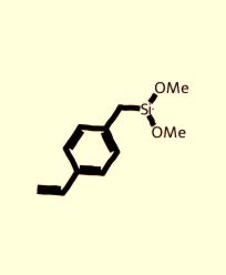 C=Cc1ccc(C[Si](OC)OC)cc1